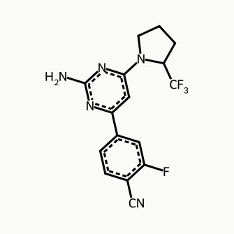 N#Cc1ccc(-c2cc(N3CCCC3C(F)(F)F)nc(N)n2)cc1F